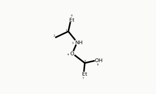 CCC(C)NOC(O)CC